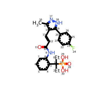 CCC(CC)(c1ccccc1NC(=O)/C=C/c1c(C)n[nH]c1-c1ccc(F)cc1)P(=O)(O)O